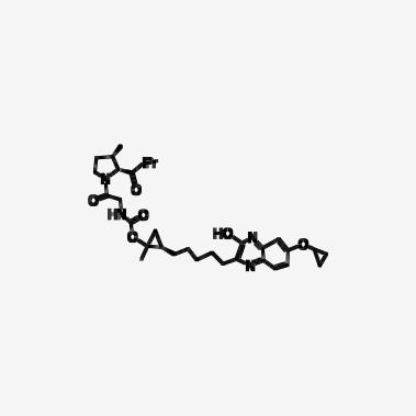 CC(C)C(=O)[C@@H]1[C@H](C)CCN1C(=O)CNC(=O)OC1(C)C[C@H]1CCCCCc1nc2ccc(OC3CC3)cc2nc1O